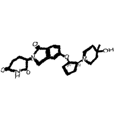 CC1(O)CCN([C@H]2CCC[C@H]2Oc2ccc3c(c2)CN(C2CCC(=O)NC2=O)C3=O)CC1